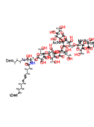 CCCCCCCCCCCCC/C=C/[C@@H](O)[C@H](CO[C@@H]1OC(CO)[C@@H](O[C@@H]2OC(CO)[C@H](O[C@@H]3OC(CO)[C@H](O)[C@H](O[C@@H]4OC(CO[C@@H]5OC(CO)[C@@H](O)[C@H](O[C@H]6C(O)[C@H](O)C(C)O[C@H]6O)C5NC(C)=O)[C@H](O)[C@H](O[C@@H]5OC(CO)[C@H](O)[C@H](O)C5O)C4NC(C)=O)C3O)[C@H](O)C2O)[C@H](O)C1O)NC(=O)CCCCCCCCCCCCCCCCCCCCC